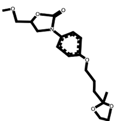 COCC1CN(c2ccc(OCCCC3(C)OCCO3)cc2)C(=O)O1